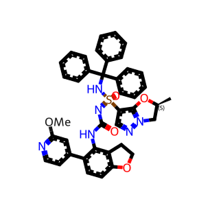 COc1cc(-c2ccc3c(c2NC(=O)N=S(=O)(NC(c2ccccc2)(c2ccccc2)c2ccccc2)c2cnn4c2O[C@@H](C)C4)CCO3)ccn1